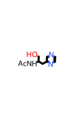 CC(=O)NC(CO)Cc1cnccn1